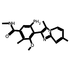 CNC(=O)c1cc(P)c(-c2nc3cc(C)ccn3c2C)c(OC)c1C